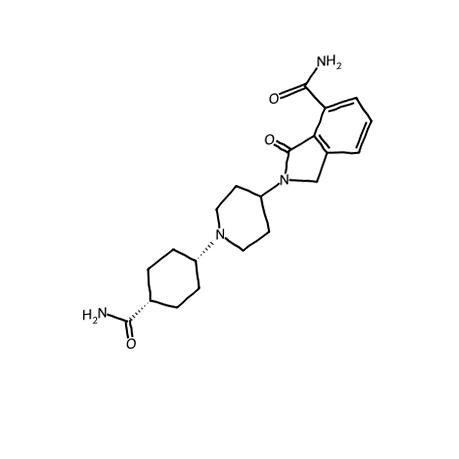 NC(=O)c1cccc2c1C(=O)N(C1CCN([C@H]3CC[C@@H](C(N)=O)CC3)CC1)C2